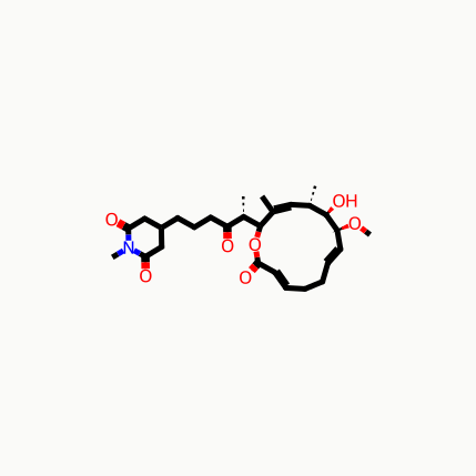 CO[C@H]1/C=C/CC/C=C/C(=O)OC([C@@H](C)C(=O)CCCC2CC(=O)N(C)C(=O)C2)/C(C)=C\[C@H](C)[C@H]1O